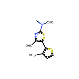 CN(C=O)c1nc(C=O)c(-c2sccc2C(=O)O)s1